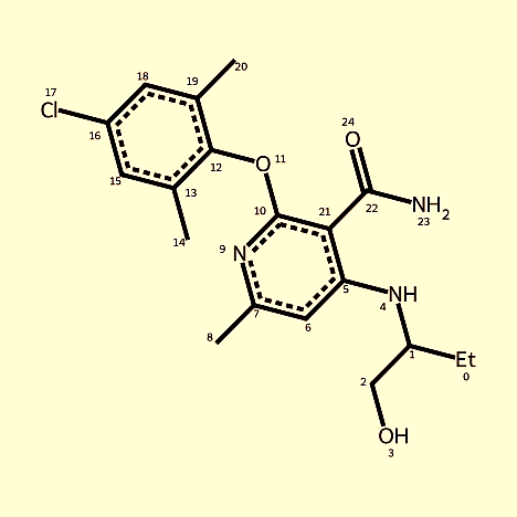 CCC(CO)Nc1cc(C)nc(Oc2c(C)cc(Cl)cc2C)c1C(N)=O